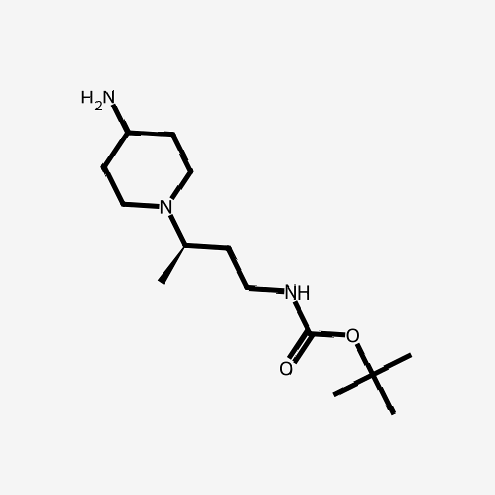 C[C@H](CCNC(=O)OC(C)(C)C)N1CCC(N)CC1